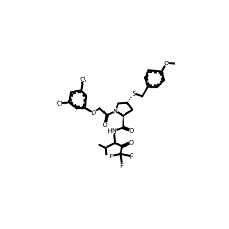 COc1ccc(CS[C@@H]2C[C@@H](C(=O)NC(C(=O)C(F)(F)F)C(C)C)N(C(=O)COc3cc(Cl)cc(Cl)c3)C2)cc1